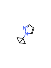 c1cnn(C23CC2C3)c1